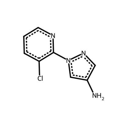 Nc1cnn(-c2ncccc2Cl)c1